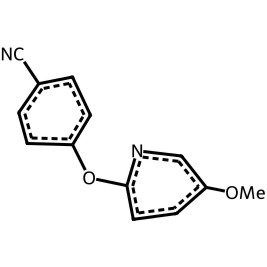 COc1ccc(Oc2ccc(C#N)cc2)nc1